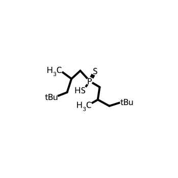 CC(CC(C)(C)C)CP(=S)(S)CC(C)CC(C)(C)C